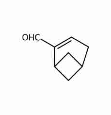 O=CC1=CCC2CC1C2